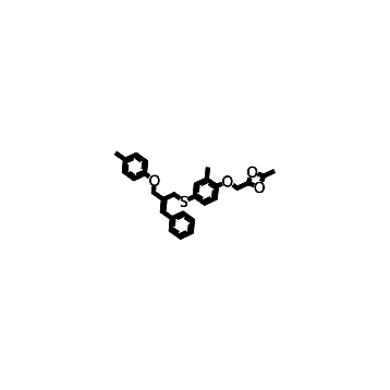 Cc1ccc(OCC(=Cc2ccccc2)CSc2ccc(OCC3OC(C)O3)c(C)c2)cc1